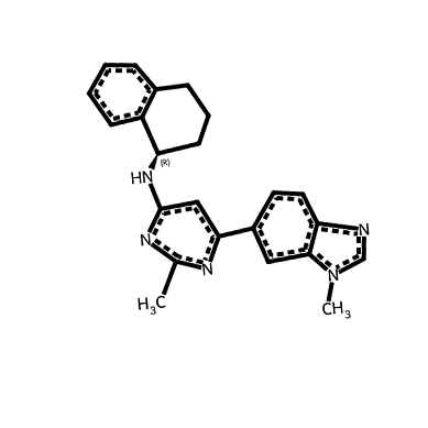 Cc1nc(N[C@@H]2CCCc3ccccc32)cc(-c2ccc3ncn(C)c3c2)n1